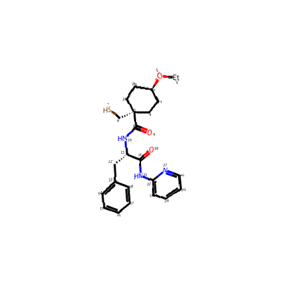 CCO[C@H]1CC[C@@](CS)(C(=O)N[C@@H](Cc2ccccc2)C(=O)Nc2ccccn2)CC1